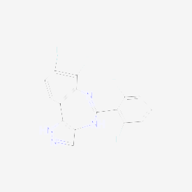 Fc1ccc2c(c1F)N=C(c1c(F)cccc1F)Nc1cn[nH]c1-2